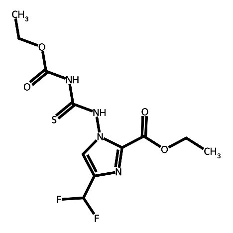 CCOC(=O)NC(=S)Nn1cc(C(F)F)nc1C(=O)OCC